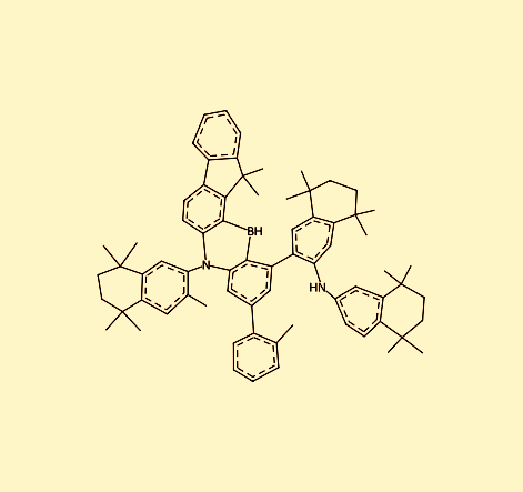 Cc1ccccc1-c1cc(-c2cc3c(cc2Nc2ccc4c(c2)C(C)(C)CCC4(C)C)C(C)(C)CCC3(C)C)c2c(c1)N(c1cc3c(cc1C)C(C)(C)CCC3(C)C)c1ccc3c(c1B2)C(C)(C)c1ccccc1-3